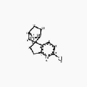 Clc1ccc2c(n1)CCC21CC2CCC1N2